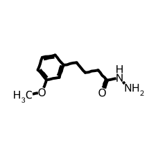 COc1cccc(CCCC(=O)NN)c1